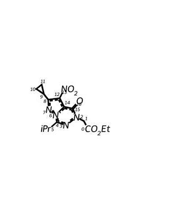 CCOC(=O)Cn1nc(C(C)C)n2nc(C3CC3)c([N+](=O)[O-])c2c1=O